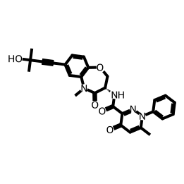 Cc1cc(=O)c(C(=O)N[C@H]2COc3ccc(C#CC(C)(C)O)cc3N(C)C2=O)nn1-c1ccccc1